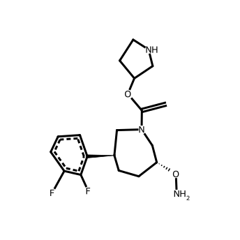 C=C(OC1CCNC1)N1C[C@H](ON)CC[C@@H](c2cccc(F)c2F)C1